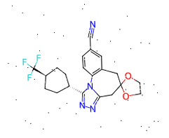 N#Cc1ccc2c(c1)CC1(Cc3nnc([C@H]4CC[C@H](C(F)(F)F)CC4)n3-2)OCCO1